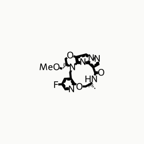 COC[C@@H]1COc2cn3ncc4c3nc2N1Cc1cc(F)cnc1OC[C@@H](C)NC4=O